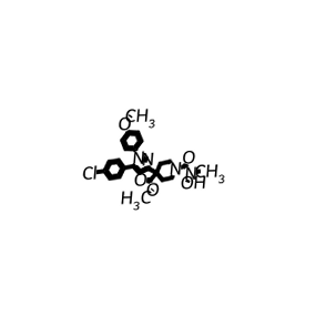 COC(=O)C1(c2cc(-c3ccc(Cl)cc3)n(-c3ccc(OC)cc3)n2)CCN(C(=O)N(C)O)CC1